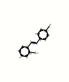 Ic1ccc(/C=C/c2ccccc2I)cc1